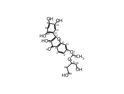 CC(Oc1ccc2c(=O)c(O)c(-c3cc(O)c(O)cc3O)oc2c1)OC(CO)CCO